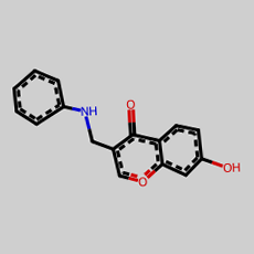 O=c1c(CNc2ccccc2)coc2cc(O)ccc12